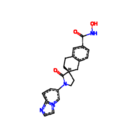 O=C(NO)c1ccc2c(c1)CC[C@]1(CCN(c3ccc4nccn4c3)C1=O)C2